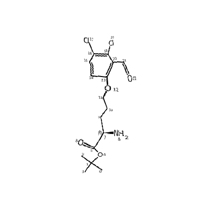 CC(C)(C)OC(=O)[C@H](N)CCCOc1ccc(Cl)c(Cl)c1C=O